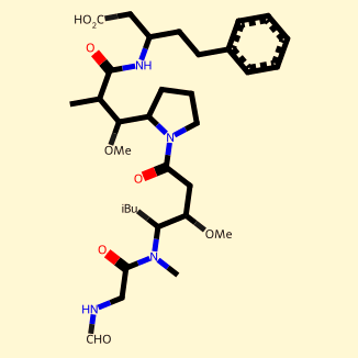 CCC(C)C(C(CC(=O)N1CCCC1C(OC)C(C)C(=O)NC(CCc1ccccc1)CC(=O)O)OC)N(C)C(=O)CNC=O